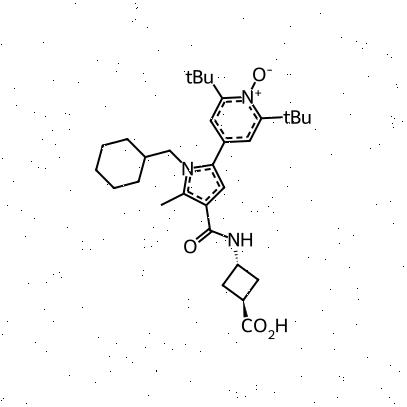 Cc1c(C(=O)N[C@H]2C[C@H](C(=O)O)C2)cc(-c2cc(C(C)(C)C)[n+]([O-])c(C(C)(C)C)c2)n1CC1CCCCC1